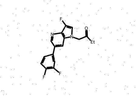 CCC(=O)Cn1cc(F)c2ncc(-c3ccc(F)c(F)c3)cc21